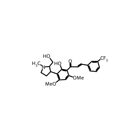 COc1cc(OC)c(C2CCN(C)C2CO)c(O)c1C(=O)C=Cc1cccc(C(F)(F)F)c1